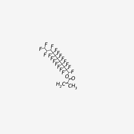 C=C(C)C(=O)OC(F)C(F)(F)C(F)(F)C(F)(F)C(F)(F)C(F)(F)C(F)(F)C(F)(F)C(F)C(F)C(F)F